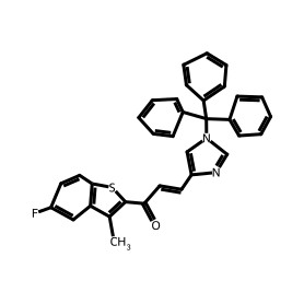 Cc1c(C(=O)/C=C/c2cn(C(c3ccccc3)(c3ccccc3)c3ccccc3)cn2)sc2ccc(F)cc12